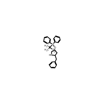 CC(C)(C)[Si](O[C@H]1CNC(Cc2ccccc2)C1)(c1ccccc1)c1ccccc1